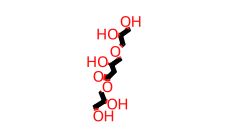 O=C(C[C@@H](O)COCC(O)CO)OCC(O)CO